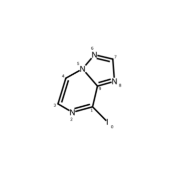 Ic1nccn2ncnc12